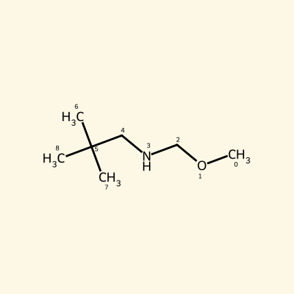 COCNCC(C)(C)C